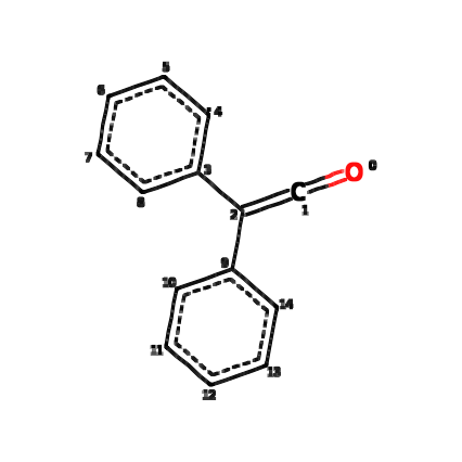 O=C=C(c1[c]cccc1)c1ccccc1